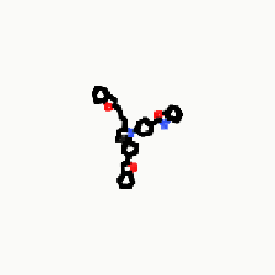 C=C/C(=C\C=C\C1Cc2ccccc2O1)N(c1ccc(-c2cc3ccccc3o2)cc1)c1ccc(-c2nc3ccccc3o2)cc1